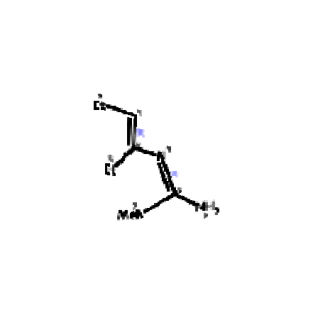 CC/C=C(CC)/N=C(/N)NC